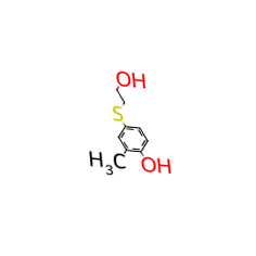 Cc1cc(SCCO)ccc1O